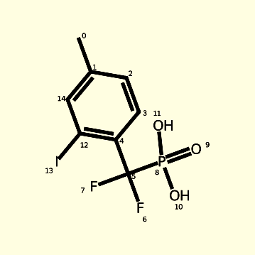 Cc1ccc(C(F)(F)P(=O)(O)O)c(I)c1